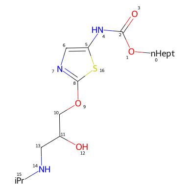 CCCCCCCOC(=O)Nc1cnc(OCC(O)CNC(C)C)s1